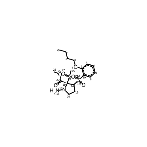 CCCCOc1ccccc1S(=O)(=O)C1CCN(N)[C@]1(C(=O)OC)S(C)(=O)=O